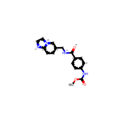 CC(C)(C)OC(=O)Nc1ccc(C(=O)NCc2ccc3nccn3c2)cc1